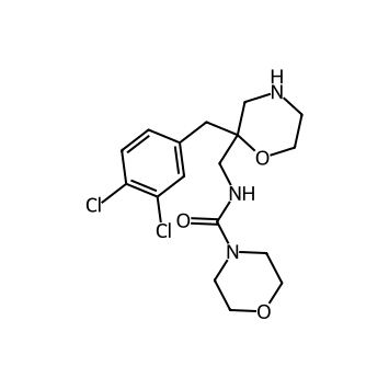 O=C(NCC1(Cc2ccc(Cl)c(Cl)c2)CNCCO1)N1CCOCC1